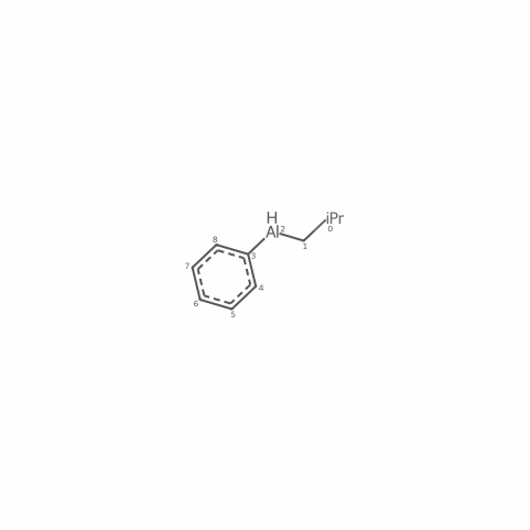 CC(C)[CH2][AlH][c]1ccccc1